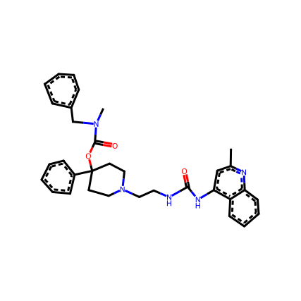 Cc1cc(NC(=O)NCCN2CCC(OC(=O)N(C)Cc3ccccc3)(c3ccccc3)CC2)c2ccccc2n1